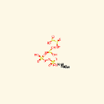 O=S(=O)(O)OOS(=O)(=O)O.O=S(O)O.O=S(O)S(=O)O.[NaH].[NaH].[NaH]